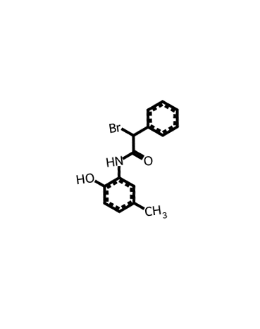 Cc1ccc(O)c(NC(=O)C(Br)c2ccccc2)c1